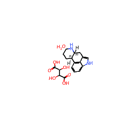 O.O=C(O)C(O)C(O)C(=O)O.c1cc2c3c(c[nH]c3c1)C[C@H]1NCCC[C@H]21